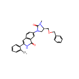 CN1C(=O)N(c2ccc3cc(-c4ccccc4C(F)(F)F)[nH]c(=O)c3c2)C[C@@H]1COCc1ccccc1